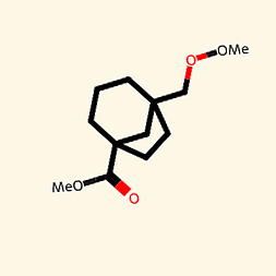 COOCC12CCCC(C(=O)OC)(CC1)C2